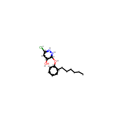 CCCCCCc1ccccc1Oc1nnc(Cl)cc1O